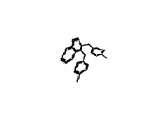 Cc1ccc(Cc2ccc3ccccc3c2Cc2ccc(C)cc2)cc1